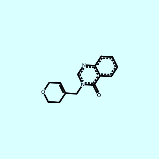 O=c1c2ccccc2ncn1CC1=CCOCC1